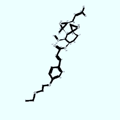 CCOCCOc1ccc(/C=C/C(=O)O[C@@H]2CC[C@]3(CO3)[C@@H](C3(C)O[C@H]3CC=C(C)C)[C@@H]2OC)cc1